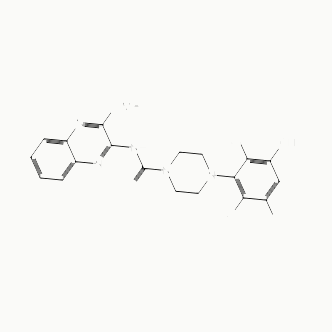 COc1nc2ccccc2nc1NC(=O)N1CCN(c2c(C)c(C)cc(C)c2C)CC1